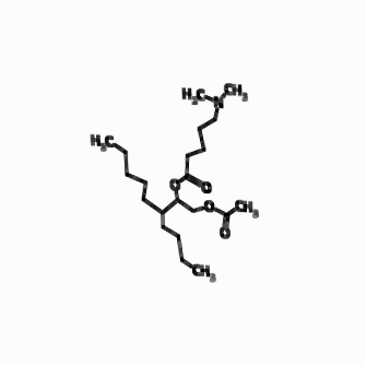 CCCCCC(CCCC)C(COC(C)=O)OC(=O)CCCCN(C)C